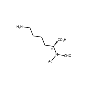 CC(=O)N(C=O)[C@@H](CCCCN)C(=O)O